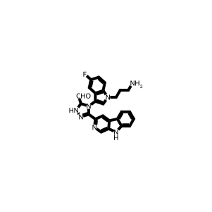 NCCCn1cc(N2C(c3cc4c(cn3)[nH]c3ccccc34)=NNC2C=O)c2cc(F)ccc21